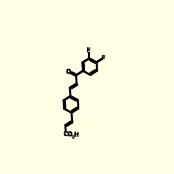 O=C(O)C=Cc1ccc(C=CC(=O)c2ccc(F)c(F)c2)cc1